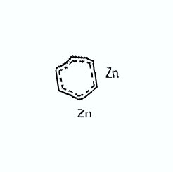 [Zn].[Zn].c1ccccc1